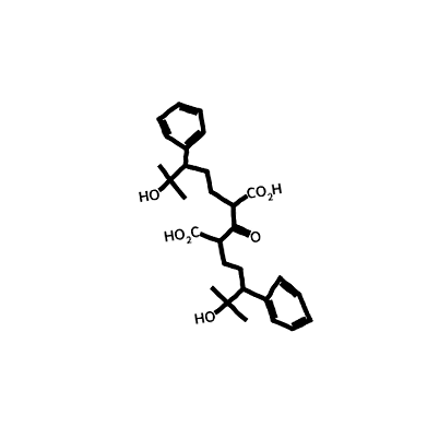 CC(C)(O)C(CCC(C(=O)O)C(=O)C(CCC(c1ccccc1)C(C)(C)O)C(=O)O)c1ccccc1